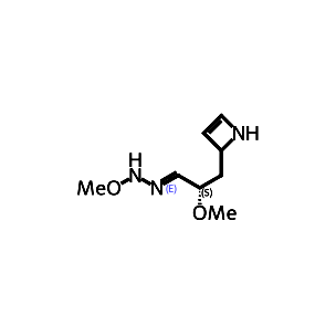 CON/N=C/[C@H](CC1C=CN1)OC